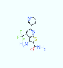 NC(=O)c1sc2nc(-c3cccnc3)cc(C(F)(F)F)c2c1N